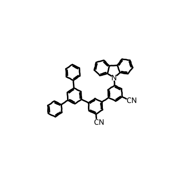 N#Cc1cc(-c2cc(-c3ccccc3)cc(-c3ccccc3)c2)cc(-c2cc(C#N)cc(-n3c4ccccc4c4ccccc43)c2)c1